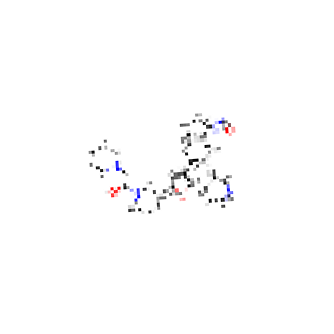 O=C(CN1CCCCC1)N1CCCC(c2cc(-c3ccc4c(c3)CC/C4=N/O)c(-c3ccncc3)o2)C1